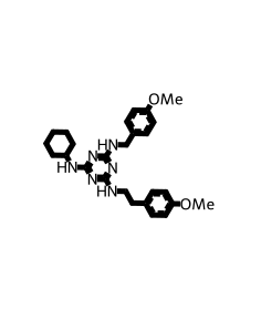 COc1ccc(CCNc2nc(NCc3ccc(OC)cc3)nc(NC3CCCCC3)n2)cc1